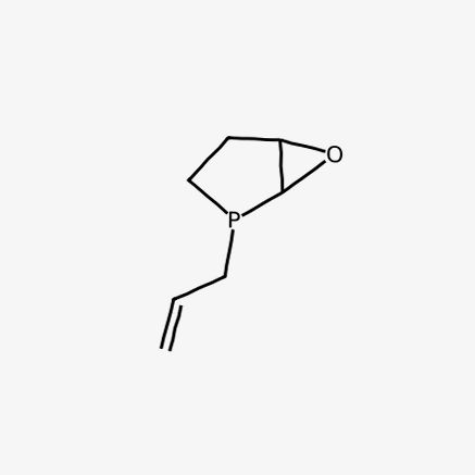 C=CCP1CCC2OC21